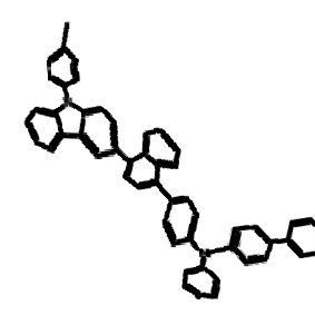 Cc1ccc(-n2c3ccccc3c3cc(-c4ccc(-c5ccc(N(c6ccccc6)c6ccc(-c7ccccc7)cc6)cc5)c5ccccc45)ccc32)cc1